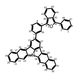 c1ccc(-c2oc(-c3cccc(-c4cc5c6cc7ccccc7cc6n6c7cc8ccccc8cc7c(c4)c56)c3)c3ccccc23)cc1